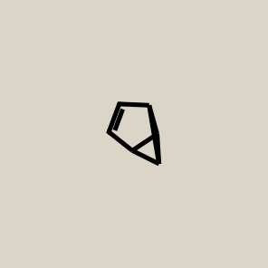 C1=CC2C3C1C23